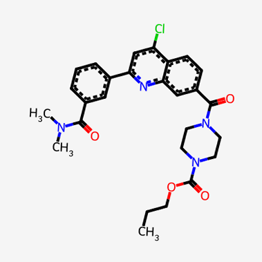 CCCOC(=O)N1CCN(C(=O)c2ccc3c(Cl)cc(-c4cccc(C(=O)N(C)C)c4)nc3c2)CC1